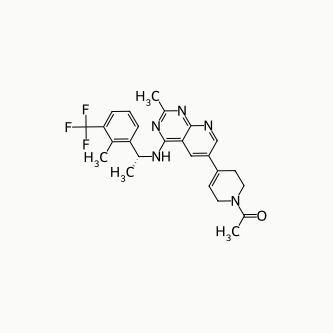 CC(=O)N1CC=C(c2cnc3nc(C)nc(N[C@H](C)c4cccc(C(F)(F)F)c4C)c3c2)CC1